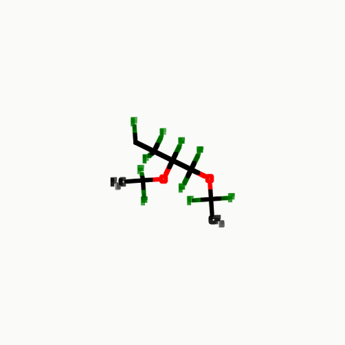 FCC(F)(F)C(F)(OC(F)(F)C(F)(F)F)C(F)(F)OC(F)(F)C(F)(F)F